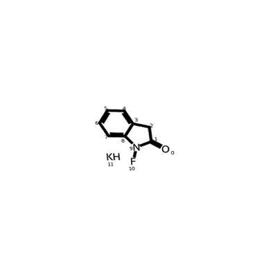 O=C1Cc2ccccc2N1F.[KH]